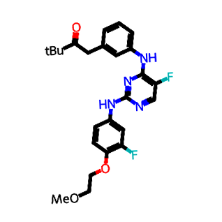 COCCOc1ccc(Nc2ncc(F)c(Nc3cccc(CC(=O)C(C)(C)C)c3)n2)cc1F